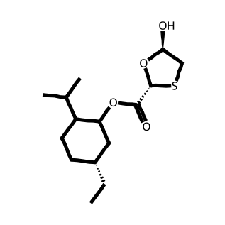 CC[C@@H]1CCC(C(C)C)C(OC(=O)[C@@H]2O[C@@H](O)CS2)C1